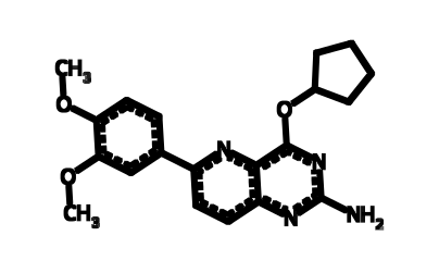 COc1ccc(-c2ccc3nc(N)nc(OC4CCCC4)c3n2)cc1OC